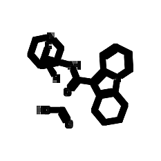 O=C(N[C@H]1CN2CCC1CC2)c1c2c(n3ccccc13)CCCC2.O=CO